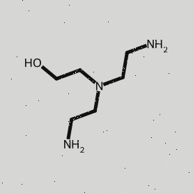 NCCN(CCN)CCO